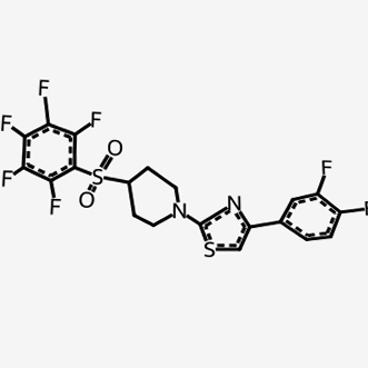 O=S(=O)(c1c(F)c(F)c(F)c(F)c1F)C1CCN(c2nc(-c3ccc(F)c(F)c3)cs2)CC1